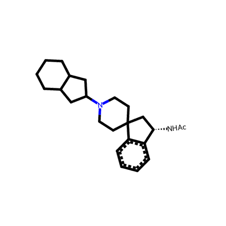 CC(=O)N[C@H]1CC2(CCN(C3CC4CCCCC4C3)CC2)c2ccccc21